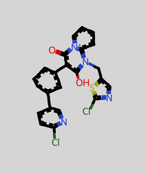 O=c1c(-c2cccc(-c3ccc(Cl)nc3)c2)c(O)n(Cc2cnc(Cl)s2)c2cccc[n+]12